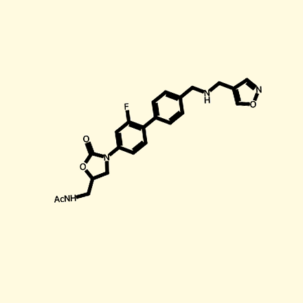 CC(=O)NCC1CN(c2ccc(-c3ccc(CNCc4cnoc4)cc3)c(F)c2)C(=O)O1